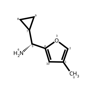 Cc1coc([C@H](N)C2CC2)c1